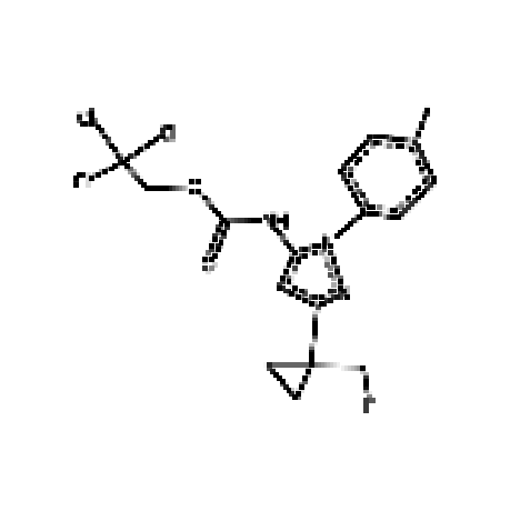 Cc1ccc(-n2nc(C3(CF)CC3)cc2NC(=O)OCC(Cl)(Cl)Cl)cc1